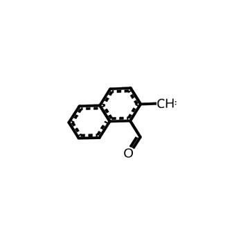 [CH]c1ccc2ccccc2c1C=O